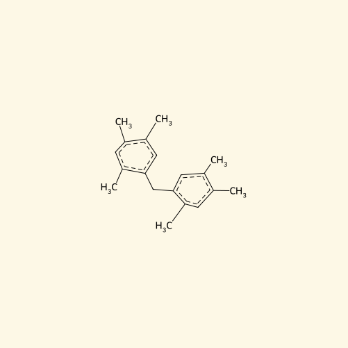 Cc1cc(C)c(Cc2cc(C)c(C)cc2C)cc1C